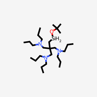 CCCN(CCC)CC(C[SiH2]OC(C)(C)C)(CN(CCC)CCC)CN(CCC)CCC